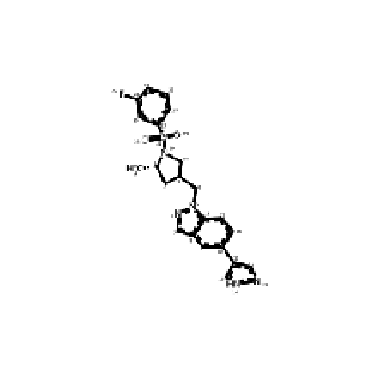 C[C@H]1CC(Cn2ncc3cc(-c4cn[nH]c4)ccc32)CN1S(=O)(=O)c1cccc(F)c1